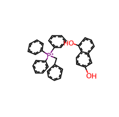 Oc1ccc2c(O)cccc2c1.c1ccc(C[P+](c2ccccc2)(c2ccccc2)c2ccccc2)cc1